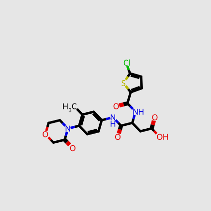 Cc1cc(NC(=O)C(CC(=O)O)NC(=O)c2ccc(Cl)s2)ccc1N1CCOCC1=O